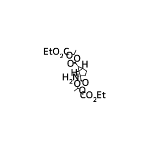 CCOC(=O)OC(C)OC(=O)[C@H]1[C@@H]2CC[C@@](N)(C(=O)OC(C)OC(=O)OCC)[C@@H]21